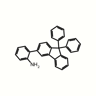 Nc1ccccc1-c1ccc2c(c1)-c1ccccc1C2(c1ccccc1)c1ccccc1